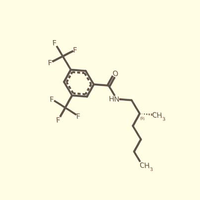 CCCC[C@@H](C)CNC(=O)c1cc(C(F)(F)F)cc(C(F)(F)F)c1